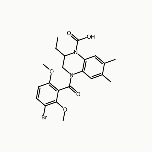 CCC1CN(C(=O)c2c(OC)ccc(Br)c2OC)c2cc(C)c(C)cc2N1C(=O)O